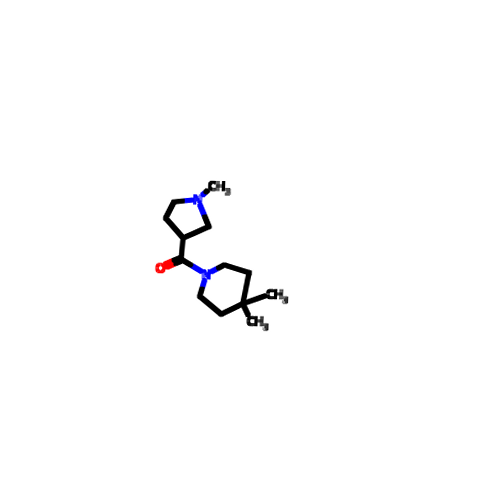 CN1CCC(C(=O)N2CCC(C)(C)CC2)C1